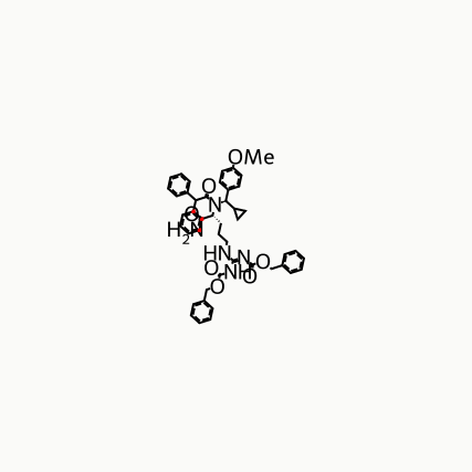 COc1ccc([C@@H](C2CC2)N(C(=O)C(c2ccccc2)c2ccccc2)[C@H](CCCNC(=NC(=O)OCc2ccccc2)NC(=O)OCc2ccccc2)C(N)=O)cc1